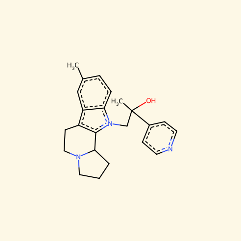 Cc1ccc2c(c1)c1c(n2CC(C)(O)c2ccncc2)C2CCCN2CC1